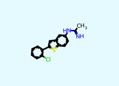 CC(=N)Nc1ccc2sc(-c3ccccc3Cl)cc2c1